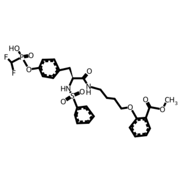 COC(=O)c1ccccc1OCCCCNC(=O)[C@H](Cc1ccc(OP(=O)(O)C(F)F)cc1)NS(=O)(=O)c1ccccc1